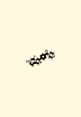 O=C(c1ccc(C2=CN3/C(I)=C\NCC/C=C/3C=N2)cc1)N1CCOCC1